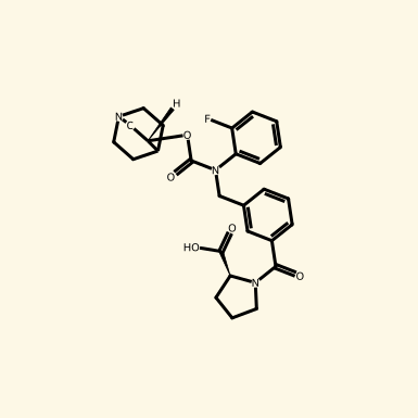 O=C(O)[C@@H]1CCCN1C(=O)c1cccc(CN(C(=O)O[C@H]2CN3CCC2CC3)c2ccccc2F)c1